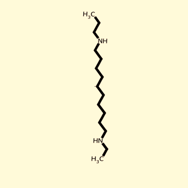 CCCNCCCC[CH]CCCCCNCC